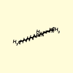 CCCCCCCCCCCPCCCCCCCCCC